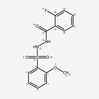 COc1ccccc1S(=O)(=O)NNC(=O)c1ccccc1F